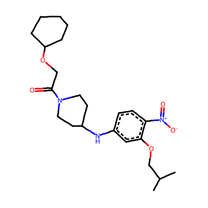 CC(C)COc1cc(NC2CCN(C(=O)COC3CCCCC3)CC2)ccc1[N+](=O)[O-]